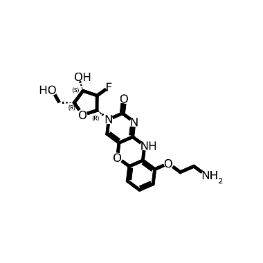 NCCOc1cccc2c1Nc1nc(=O)n([C@@H]3O[C@H](CO)[C@H](O)C3F)cc1O2